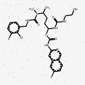 CC(CCC(NC(=O)NCCO)OC(=O)Nc1cc2cc(F)ccc2cn1)N(C)C(=O)NCc1cccc(F)c1Cl